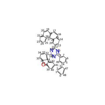 c1ccc(-c2cccc(-c3nc(-c4ccc5ccc6ccc7ccccc7c6c5c4)nc(-c4cccc5oc6ccccc6c45)n3)c2)cc1